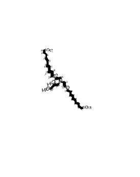 CCCCCCCC/C=C\CCCCCCCCOCCN(CCOCCCCCCCC/C=C\CCCCCCCC)CC(O)CO